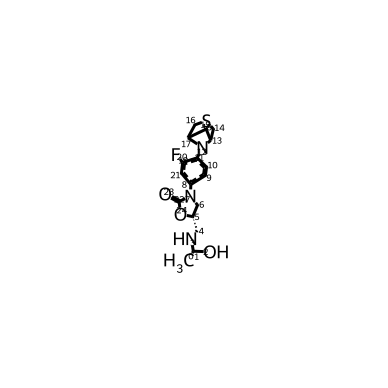 CC(O)NC[C@H]1CN(c2ccc(N3C4CSCC3C4)c(F)c2)C(=O)O1